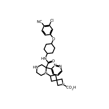 N#Cc1ccc(OC2CCC(NC(=O)C3(c4cccnn4)CNCCN3C3CC4(C3)CN(C(=O)O)C4)CC2)cc1Cl